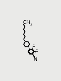 CCCCCCCC[C@H]1CC[C@H](c2ccc(C#N)c(F)c2F)CC1